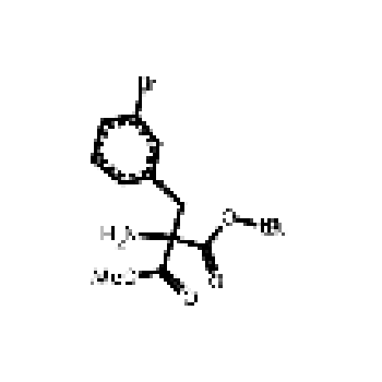 COC(=O)C(N)(Cc1cccc(Br)c1)C(=O)OC(C)(C)C